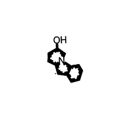 Oc1ccc2[c]c3ccccc3n2c1